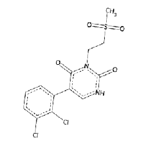 CS(=O)(=O)CCn1c(=O)[nH]cc(-c2cccc(Cl)c2Cl)c1=O